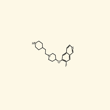 Fc1cc2cnccc2cc1OC1CCN(CCC2CCNCC2)CC1